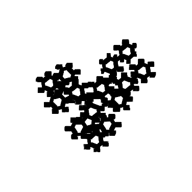 c1ccc(-c2cccc(N(c3cccc(-c4ccccc4)c3)c3ccc(N(c4ccc5c(c4)-c4ccccc4C5(c4ccccc4)c4ccccc4)c4ccc5c(c4)-c4ccccc4C5(c4ccccc4)c4ccccc4)c4sc5ccccc5c34)c2)cc1